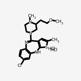 COCCC1CN(C2=Nc3ccc(Cl)cc3Nc3sc(C)cc32)CCN1C.Cl.Cl